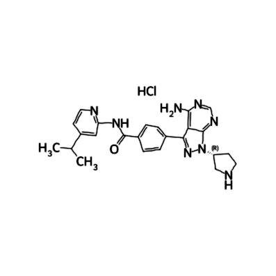 CC(C)c1ccnc(NC(=O)c2ccc(-c3nn([C@@H]4CCNC4)c4ncnc(N)c34)cc2)c1.Cl